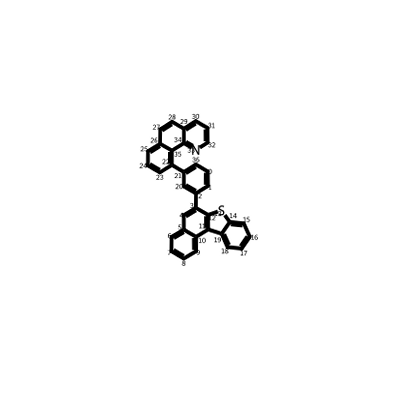 c1cc(-c2cc3ccccc3c3c2sc2ccccc23)cc(-c2cccc3ccc4cccnc4c23)c1